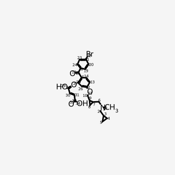 CN(CC1CC1)CC1CC1COc1ccc(C(=O)c2ccc(Br)cc2)cc1.O=C(O)C=CC(=O)O